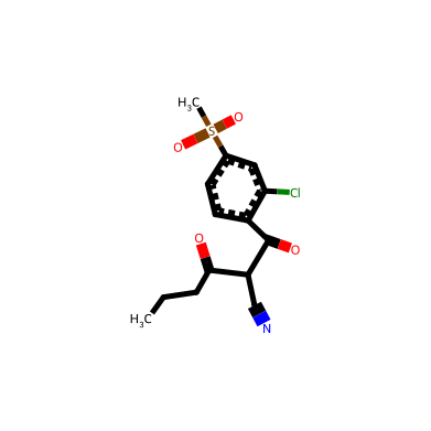 CCCC(=O)C(C#N)C(=O)c1ccc(S(C)(=O)=O)cc1Cl